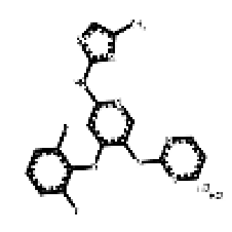 Cc1csc(Nc2cc(Oc3c(F)cccc3F)c(Sc3ncccn3)cn2)n1.Cl.Cl